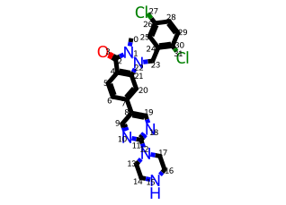 Cn1c(=O)c2ccc(-c3cnc(N4CCNCC4)nc3)cc2n1Cc1cc(Cl)ccc1Cl